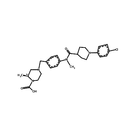 C[C@H]1CN(Cc2ccc(N(C)C(=O)C3CCN(c4ccc(Cl)cc4)CC3)cc2)CCN1C(=O)O